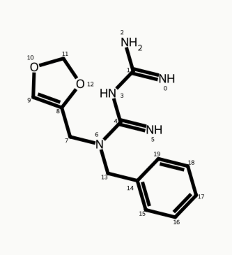 N=C(N)NC(=N)N(CC1=COCO1)Cc1ccccc1